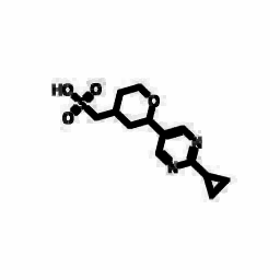 O=S(=O)(O)CC1CCOC(c2cnc(C3CC3)nc2)C1